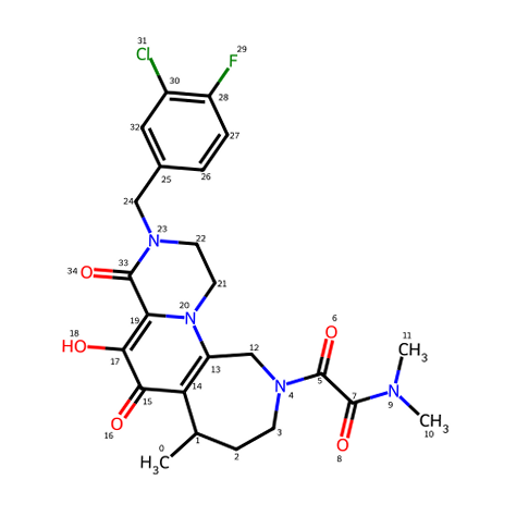 CC1CCN(C(=O)C(=O)N(C)C)Cc2c1c(=O)c(O)c1n2CCN(Cc2ccc(F)c(Cl)c2)C1=O